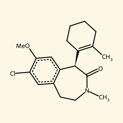 COc1cc2c(cc1Cl)CCN(C)C(=O)[C@@H]2C1=C(C)CCCC1